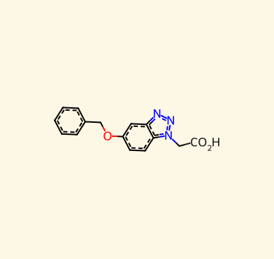 O=C(O)Cn1nnc2cc(OCc3ccccc3)ccc21